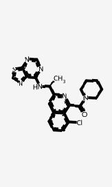 C[C@H](Nc1ncnc2scnc12)c1cc2cccc(Cl)c2c(C(=O)N2CCCCC2)n1